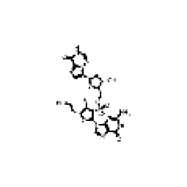 Nc1nc2c(ncn2[C@@H]2O[C@H](CCO)[C@@H](F)[C@H]2P(=O)(S)OC[C@H]2O[C@@H](c3cnc4c(=O)[nH]cnn34)C[C@@H]2O)c(=O)[nH]1